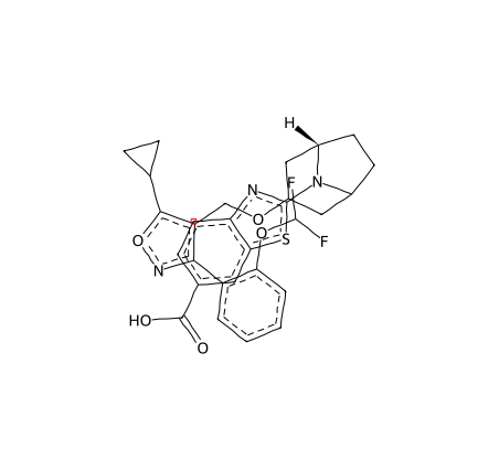 O=C(O)c1ccc2nc(N3C4CC[C@H]3CC(OCc3c(-c5ccccc5OC(F)F)noc3C3CC3)C4)sc2c1